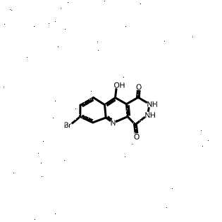 O=c1[nH][nH]c(=O)c2c(O)c3ccc(Br)cc3nc12